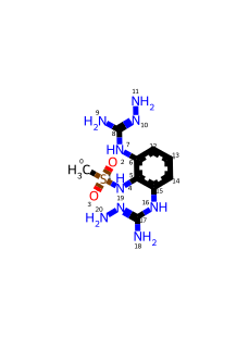 CS(=O)(=O)Nc1c(NC(N)=NN)c[c]cc1NC(N)=NN